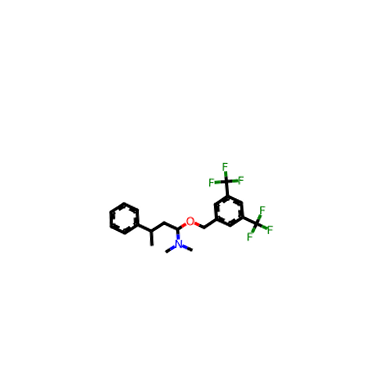 CC(CC(OCc1cc(C(F)(F)F)cc(C(F)(F)F)c1)N(C)C)c1ccccc1